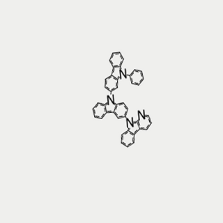 c1ccc(-n2c3ccccc3c3ccc(-n4c5ccccc5c5cc(-n6c7ccccc7c7cccnc76)ccc54)cc32)cc1